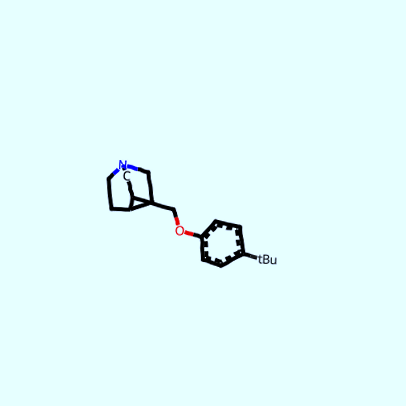 CC(C)(C)c1ccc(OCC2CN3CCC2CC3)cc1